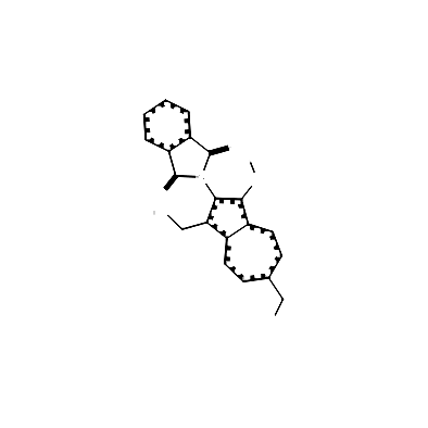 CCOC(=O)Oc1c2ccc(CS)ccc-2c(CC(C)C)c1N1C(=O)c2ccccc2C1=O